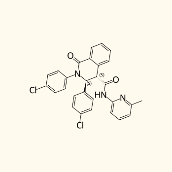 Cc1cccc(NC(=O)[C@H]2c3ccccc3C(=O)N(c3ccc(Cl)cc3)[C@@H]2c2ccc(Cl)cc2)n1